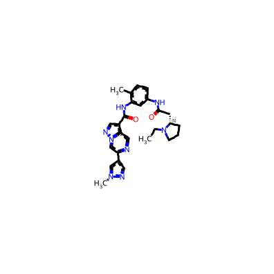 CCN1CCC[C@H]1CC(=O)Nc1ccc(C)c(NC(=O)c2cnn3cc(-c4cnn(C)c4)ncc23)c1